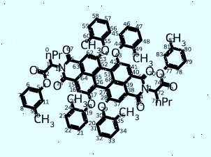 CCCC(C(=O)Oc1cccc(C)c1)N1C(=O)c2cc(Oc3ccccc3C)c3c4c(Oc5ccccc5C)cc5c6c(cc(Oc7ccccc7C)c(c7c(Oc8ccccc8C)cc(c2c37)C1=O)c64)C(=O)N(C(CCC)C(=O)Oc1cccc(C)c1)C5=O